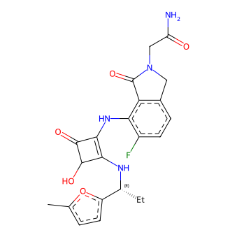 CC[C@@H](NC1=C(Nc2c(F)ccc3c2C(=O)N(CC(N)=O)C3)C(=O)C1O)c1ccc(C)o1